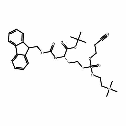 CC(C)(C)OC(=O)[C@H](CCOP(=O)(OCCC#N)OCC[N+](C)(C)C)NC(=O)OCC1c2ccccc2-c2ccccc21